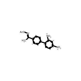 CC(=O)O/N=C(\C)c1ccc(-c2ccc([N+](=O)[O-])cc2[N+](=O)[O-])cc1